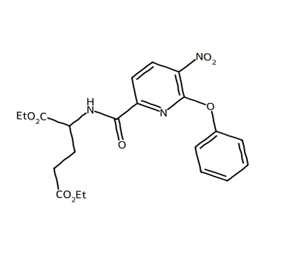 CCOC(=O)CCC(NC(=O)c1ccc([N+](=O)[O-])c(Oc2ccccc2)n1)C(=O)OCC